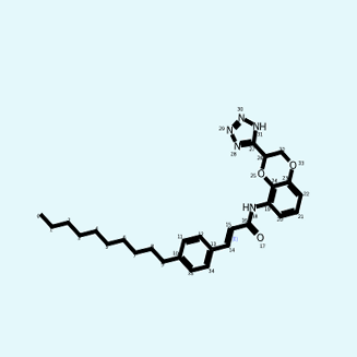 CCCCCCCCCCc1ccc(/C=C/C(=O)Nc2cccc3c2OC(c2nnn[nH]2)CO3)cc1